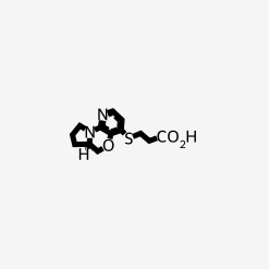 O=C(O)CCSc1ccnc2c1OC[C@@H]1CCCN21